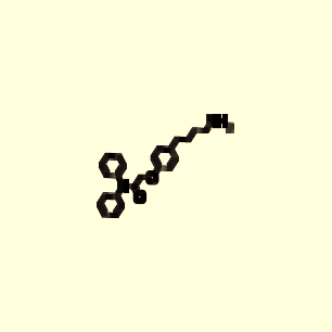 NCCCCc1ccc(OCC(=O)N(c2ccccc2)c2ccccc2)cc1